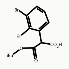 CCc1c(Br)cccc1C(C(=O)O)C(=O)OC(C)CC